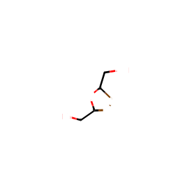 OCC1OC(CO)SS1